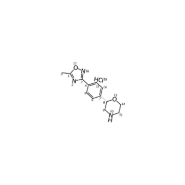 Cc1nc(-c2ccc([C@H]3CNCCO3)cc2)no1.Cl